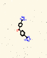 O=C(c1ccc(-c2nnn[nH]2)cc1)c1ccc(-c2nnn[nH]2)cc1